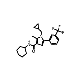 Cc1c(C(=O)NC2CCCCC2)cc(-c2cccc(C(F)(F)F)c2)n1CC1CC1